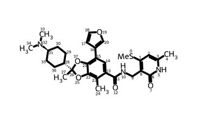 CSc1cc(C)[nH]c(=O)c1CNC(=O)c1cc(-c2ccoc2)c2c(c1C)OC(C)([C@H]1CC[C@H](N(C)C)CC1)O2